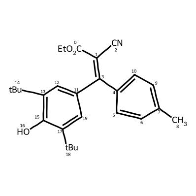 CCOC(=O)C(C#N)=C(c1ccc(C)cc1)c1cc(C(C)(C)C)c(O)c(C(C)(C)C)c1